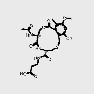 COc1cc(O)c2c(c1C)C(=O)OC[C@H](NC(C)=O)C(=O)N[C@H](C(=O)NCCC(=O)O)CSC2